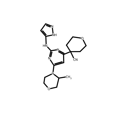 CC1COCCN1c1cc(C2(C#N)CCOCC2)nc(Nc2ccn[nH]2)n1